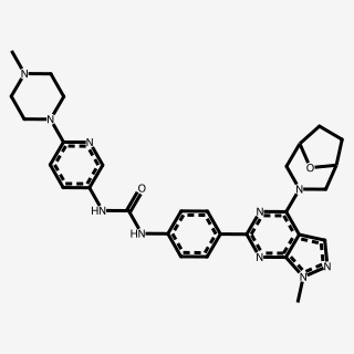 CN1CCN(c2ccc(NC(=O)Nc3ccc(-c4nc(N5CC6CCC(C5)O6)c5cnn(C)c5n4)cc3)cn2)CC1